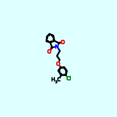 Cc1cc(OCCCN2C(=O)c3ccccc3C2=O)ccc1Cl